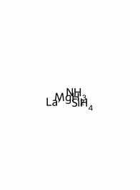 N.[La].[MgH2].[SiH4]